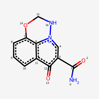 NC(=O)c1cn2c3c(cccc3c1=O)OCN2